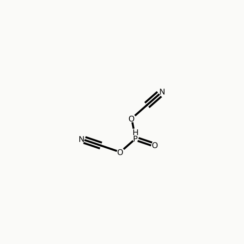 N#CO[PH](=O)OC#N